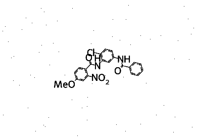 COc1ccc(C(=O)Nc2cc(NC(=O)c3ccccc3)ccc2Cl)c([N+](=O)[O-])c1